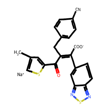 Cc1csc(C(=O)C(Cc2ccc(C#N)cc2)=C(C(=O)[O-])c2ccc3nsnc3c2)c1.[Na+]